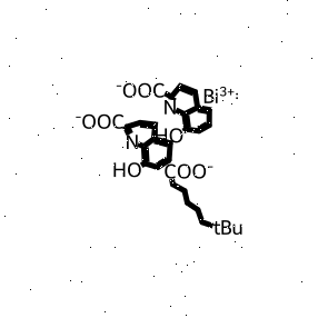 CC(C)(C)CCCCCC(=O)[O-].O=C([O-])c1ccc2cccc(O)c2n1.O=C([O-])c1ccc2cccc(O)c2n1.[Bi+3]